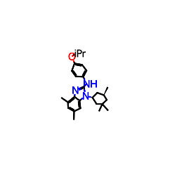 Cc1cc(C)c2nc(Nc3ccc(OC(C)C)cc3)n([C@H]3C[C@@H](C)CC(C)(C)C3)c2c1